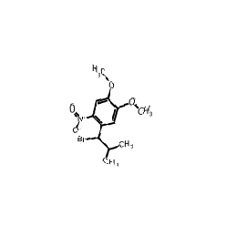 COc1cc(C(Br)C(C)C)c([N+](=O)[O-])cc1OC